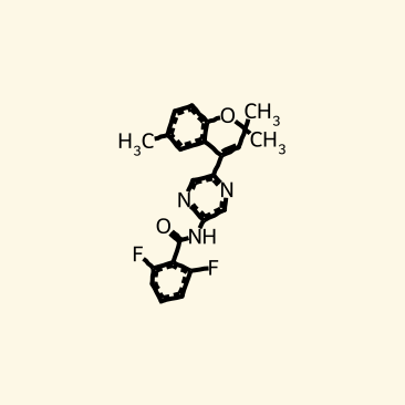 Cc1ccc2c(c1)C(c1cnc(NC(=O)c3c(F)cccc3F)cn1)=CC(C)(C)O2